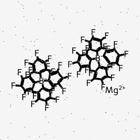 Fc1c(F)c(F)c([B-](c2c(F)c(F)c(F)c(F)c2F)(c2c(F)c(F)c(F)c(F)c2F)c2c(F)c(F)c(F)c(F)c2F)c(F)c1F.Fc1c(F)c(F)c([B-](c2c(F)c(F)c(F)c(F)c2F)(c2c(F)c(F)c(F)c(F)c2F)c2c(F)c(F)c(F)c(F)c2F)c(F)c1F.[Mg+2]